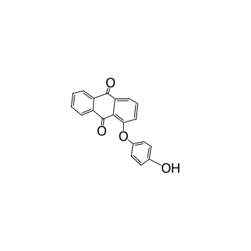 O=C1c2ccccc2C(=O)c2c(Oc3ccc(O)cc3)cccc21